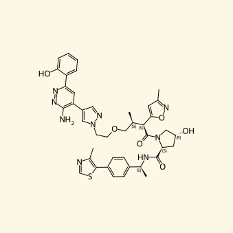 Cc1cc([C@@H](C(=O)N2C[C@H](O)C[C@H]2C(=O)N[C@@H](C)c2ccc(-c3scnc3C)cc2)[C@H](C)COCCn2cc(-c3cc(-c4ccccc4O)nnc3N)cn2)on1